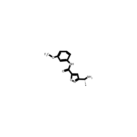 C[C@@H](N)c1cc(C(=O)Nc2cccc(OC(F)(F)F)c2)on1